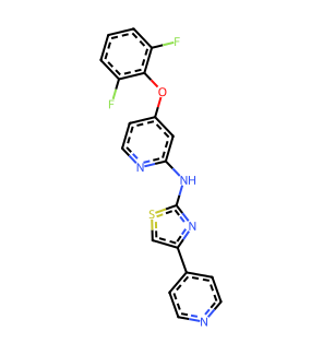 Fc1cccc(F)c1Oc1ccnc(Nc2nc(-c3ccncc3)cs2)c1